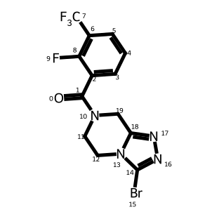 O=C(c1cccc(C(F)(F)F)c1F)N1CCn2c(Br)nnc2C1